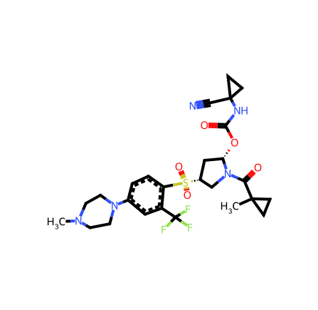 CN1CCN(c2ccc(S(=O)(=O)[C@@H]3C[C@H](OC(=O)NC4(C#N)CC4)N(C(=O)C4(C)CC4)C3)c(C(F)(F)F)c2)CC1